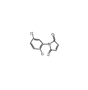 O=C1C=CC(=O)N1c1cc(Cl)ccc1Cl